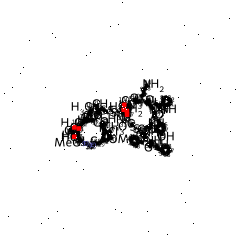 COc1cc2cc(c1Cl)N(C)C(=O)C[C@H](OC(=O)[C@H](C)N(C)C(=O)CCSSC[C@H](NC(=O)[C@@H]1CSSC[C@H](NC(=O)[C@@H](Cc3ccccc3)NC(=O)NCc3ccccc3)C(=O)N[C@@H](Cc3ccc(O)cc3)C(=O)N[C@H](Cc3c[nH]c4ccccc34)C(=O)N[C@@H](CCCCN)C(=O)N[C@@H]([C@@H](C)O)C(=O)N1)C(N)=O)[C@]1(C)O[C@H]1[C@H](C)[C@@H]1C[C@@](O)(NC(=O)O1)[C@H](OC)/C=C/C=C(\C)C2